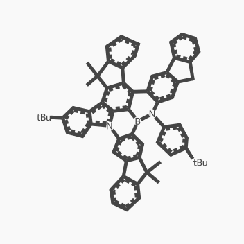 CC(C)(C)c1ccc(N2B3c4cc5c(cc4-n4c6ccc(C(C)(C)C)cc6c6c7c(c(c3c64)-c3cc4c(cc32)Cc2ccccc2-4)-c2ccccc2C7(C)C)-c2ccccc2C5(C)C)cc1